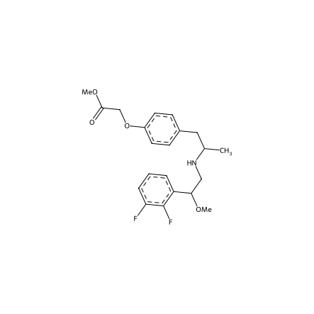 COC(=O)COc1ccc(CC(C)NCC(OC)c2cccc(F)c2F)cc1